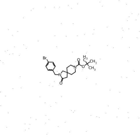 CC(C)(C)OC(=O)N1CCC2(CC1)CC(=O)N(Cc1ccc(Br)cc1)C2